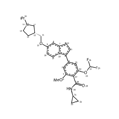 COc1cc(-c2cnc3cc(OC[C@@H]4CCN(C(C)C)C4)ccn23)cc(OC(F)F)c1C(=O)NC1CC1